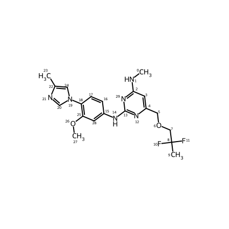 CNc1cc(COCC(C)(F)F)nc(Nc2ccc(-n3cnc(C)c3)c(OC)c2)n1